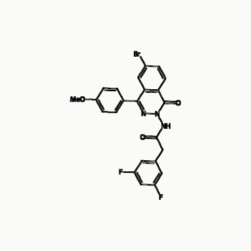 COc1ccc(-c2nn(NC(=O)Cc3cc(F)cc(F)c3)c(=O)c3ccc(Br)cc23)cc1